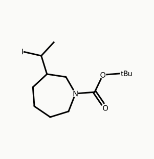 CC(I)C1CCCCN(C(=O)OC(C)(C)C)C1